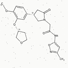 COc1ccc([C@@H]2CC(=O)N(CC(=O)Nc3cc(C)no3)C2)cc1O[C@@H]1CCOC1